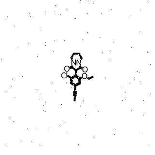 CC#Cc1cc(Cl)c(C2C(=O)N3CCCCN3C2=O)c(OCC)c1